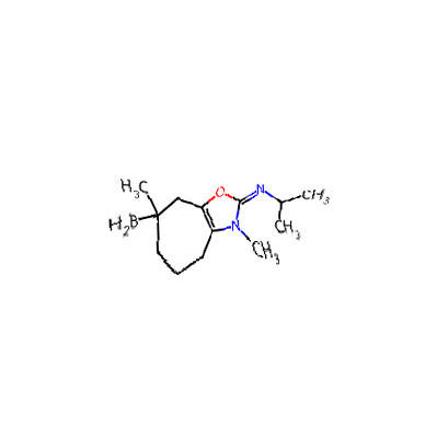 BC1(C)CCCc2c(o/c(=N/C(C)C)n2C)C1